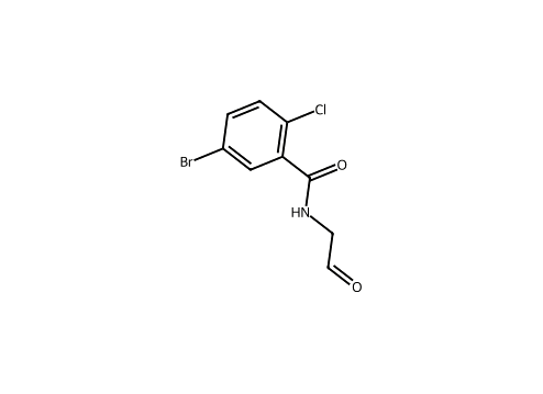 O=CCNC(=O)c1cc(Br)ccc1Cl